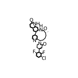 C[C@@H]1CCC[C@H](N2CCC(c3c(F)ccc(Cl)c3F)=CC2=O)c2cc(ccn2)-c2cc3ccc(=O)[nH]c3cc2NC1=O